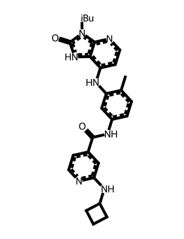 CCC(C)n1c(=O)[nH]c2c(Nc3cc(NC(=O)c4ccnc(NC5CCC5)c4)ccc3C)ccnc21